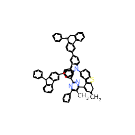 C=C1C=C(c2nc(-c3ccccc3)nc(-c3ccccc3)c2C)c2c(sc3ccc(-n4c5ccc(-c6ccc7c(c6)-c6ccccc6C7c6ccccc6)cc5c5cc(-c6ccc7c(c6)-c6ccccc6C[C@@H]7c6ccccc6)ccc54)cc23)C1